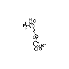 O=c1nc(C=Cc2ccc(-c3ccc(Cl)c([N+](=O)[O-])c3)o2)cc(C(F)(F)F)[nH]1